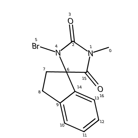 CN1C(=O)N(Br)C2(CCc3ccccc32)C1=O